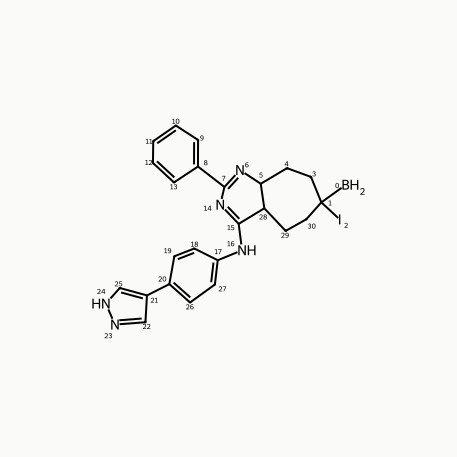 BC1(I)CCC2N=C(c3ccccc3)N=C(Nc3ccc(-c4cn[nH]c4)cc3)C2CC1